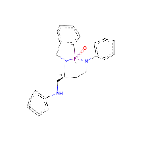 O=[P@]12c3ccccc3CN1[C@H](CNc1ccccc1)CCN2c1ccccc1